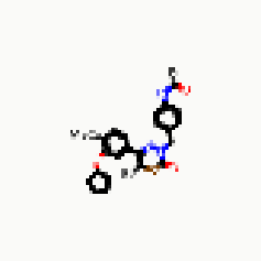 CCC(=O)Nc1ccc(CN2N=C(c3ccc(OC)c(OC4CCCC4)c3)C(CC)SC2=O)cc1